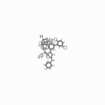 COc1ccc(Cl)cc1-c1cccc(C2CC(Cc3ccccc3)ON2[C@@H](CC(C)C)B2O[C@@H]3C[C@@H]4C[C@@H](C4(C)C)[C@]3(C)O2)c1